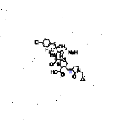 CC(C)(Sc1ccc(Cl)cc1)C(=O)N[C@@H]1C(=O)N2C(C(=O)O)=C(/C=C3\CCN(CC4CC4)C3=O)CS[C@H]12.[NaH]